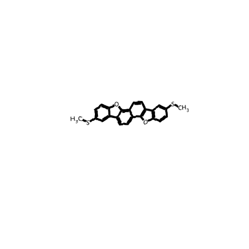 CSc1ccc2oc3c(ccc4c3ccc3c5cc(SC)ccc5oc34)c2c1